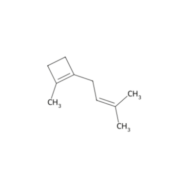 CC(C)=CCC1=C(C)CC1